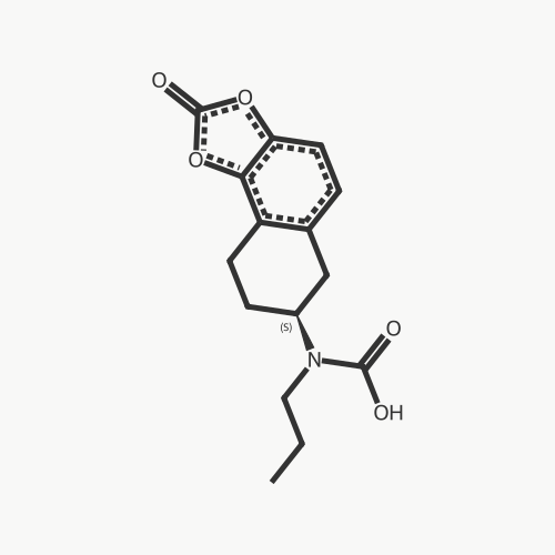 CCCN(C(=O)O)[C@H]1CCc2c(ccc3oc(=O)oc23)C1